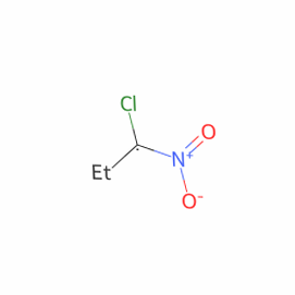 CC[C](Cl)[N+](=O)[O-]